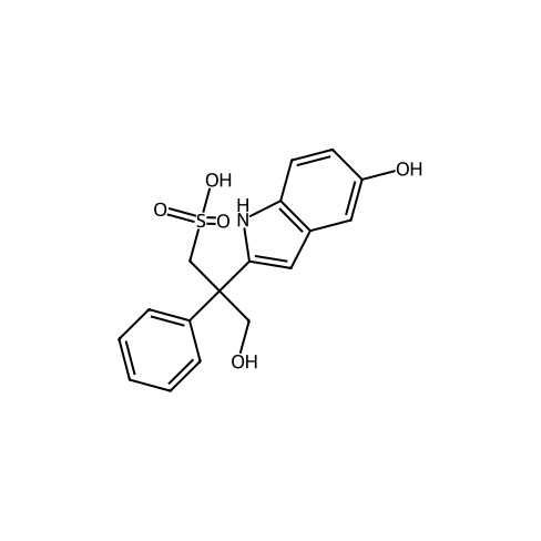 O=S(=O)(O)CC(CO)(c1ccccc1)c1cc2cc(O)ccc2[nH]1